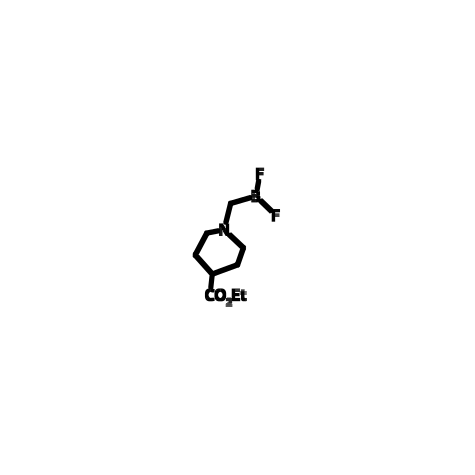 CCOC(=O)C1CCN(CB(F)F)CC1